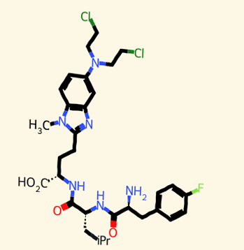 CC(C)C[C@@H](NC(=O)[C@@H](N)Cc1ccc(F)cc1)C(=O)N[C@@H](CCc1nc2cc(N(CCCl)CCCl)ccc2n1C)C(=O)O